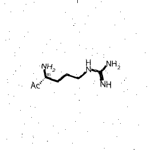 CC(=O)[C@H](N)CCCNC(=N)N